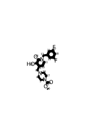 COC(=O)N1CCN(Cc2ccn(Cc3cc(F)cc(F)c3)c(=O)c2O)CC1